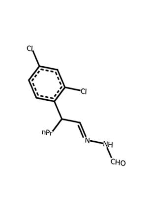 CCCC(/C=N/NC=O)c1ccc(Cl)cc1Cl